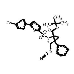 CC(C)(C)OC(=O)C1(NS(=O)(=O)c2ccc(-c3ccc(Cl)cc3)s2)CC1(CN=[N+]=[N-])c1ccccc1